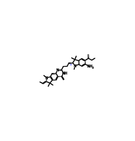 C=C(CC)c1cc2c(cc1N)N(C)/C(=C\CCC1=Nc3cc4c(cc3C(=C)N1)C(C)(C)C(=CC)N4C)C2(C)C